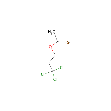 CC([S])OCCC(Cl)(Cl)Cl